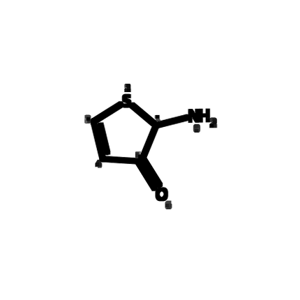 NC1SC=CC1=O